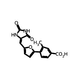 Cc1cc(C(=O)O)ccc1-c1ccc(C=C2NC(=O)NC2=O)o1